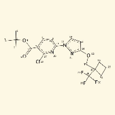 CC(C)(C)OC(=O)c1ccc(-n2ccc(OCC3(C(F)(F)F)CCC3)n2)nc1Cl